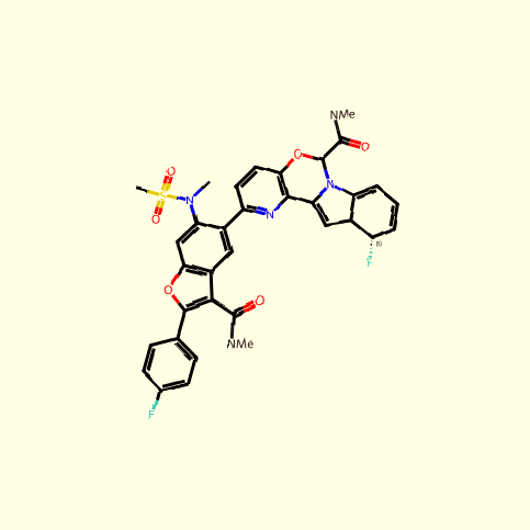 CNC(=O)c1c(-c2ccc(F)cc2)oc2cc(N(C)S(C)(=O)=O)c(-c3ccc4c(n3)C3=CC5C(=CC=C[C@@H]5F)N3C(C(=O)NC)O4)cc12